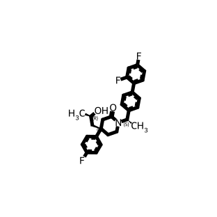 C[C@@H](O)C[C@]1(c2ccc(F)cc2)CCN([C@@H](C)c2ccc(-c3ccc(F)cc3F)cc2)C(=O)C1